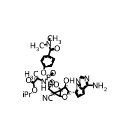 CC(C)OC(=O)[C@H](C)NP(=O)(OC[C@@]1(C#N)C2O[C@@H](c3ccc4c(N)ncnn34)[C@H](O)[C@]21O)Oc1ccc(C(=O)N(C)C)cc1